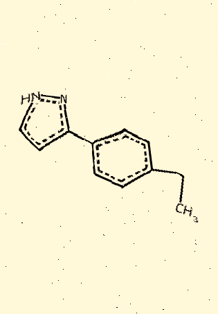 CCc1ccc(-c2cc[nH]n2)cc1